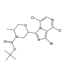 CC1COC(c2nc(Br)c3c(Cl)ncc(Cl)n23)CN1C(=O)OC(C)(C)C